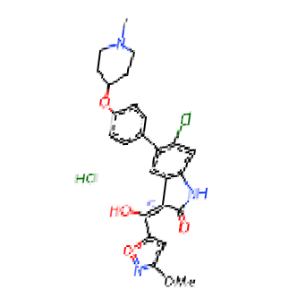 COc1cc(/C(O)=C2\C(=O)Nc3cc(Cl)c(-c4ccc(OC5CCN(C)CC5)cc4)cc32)on1.Cl